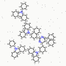 c1ccc(-n2c3ccccc3c3cc(-c4ccc5c(c4)c4ccccc4n5-c4cccc(-c5nc(-c6ccc(-n7c8ccccc8c8cc(-c9ccc%10c(c9)c9ccccc9n%10-c9ccccc9)ccc87)c7ccccc67)nc6c5-c5cccc7cccc-6c57)c4)ccc32)cc1